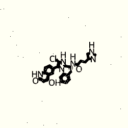 O=C(CCC1CNC=N1)N[C@@H](Cc1ccccc1)c1nc(-c2ccc3[nH]c(=O)cc(O)c3c2)c(Cl)[nH]1